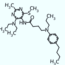 CCCCc1ccc(N(CCC)CCCC(=O)Nc2c(SC)nc(C)nc2N(CC)CC)cc1